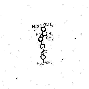 COc1ccc(-c2[nH]c3ccc(C4CCN(C(=O)CN5CCC(N(C)C)CC5)CC4)cc3c2C(C)C)cc1OC